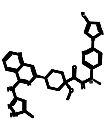 CO[C@]1(C(=O)N[C@@H](C)c2ccc(-n3cc(F)cn3)nc2)CC[C@H](c2cc3ncccc3c(Nc3cc(C)[nH]n3)n2)CC1